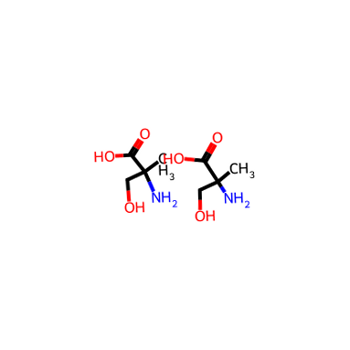 CC(N)(CO)C(=O)O.CC(N)(CO)C(=O)O